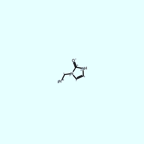 CC(C)Cn1cc[nH]c1=O